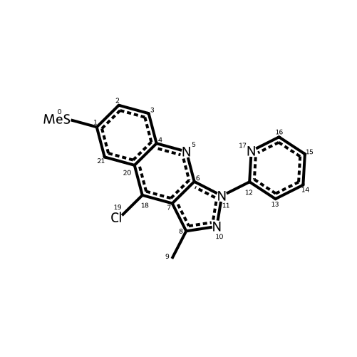 CSc1ccc2nc3c(c(C)nn3-c3ccccn3)c(Cl)c2c1